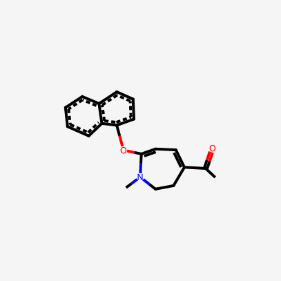 CC(=O)C1=CC=C(Oc2cccc3ccccc23)N(C)CC1